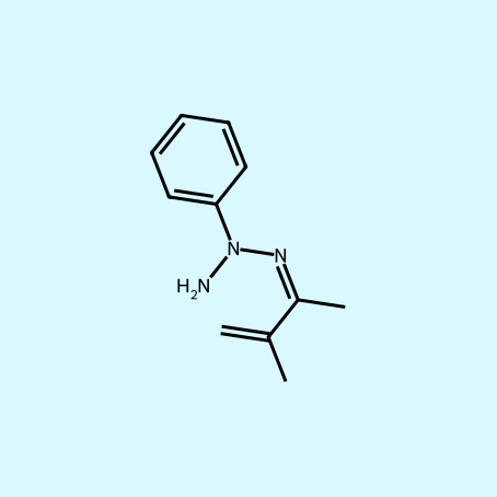 C=C(C)/C(C)=N\N(N)c1ccccc1